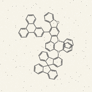 c1ccc(N(c2cccc3c2-c2ccccc2C32c3ccccc3-c3ccccc32)c2cccc3c4c(-c5ccc6c7ccccc7c7ccccc7c6c5)c5c(cc4n(-c4ccccc4)c23)oc2ccccc25)cc1